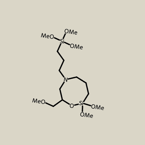 COCC1CN(CCC[Si](OC)(OC)OC)CCC[Si](OC)(OC)O1